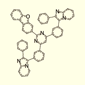 c1ccc(-c2nc3ccccn3c2-c2cccc(-c3cc(-c4cccc(-c5c(-c6ccccc6)nc6ccccn56)c4)nc(-c4ccc5c(c4)oc4ccccc45)n3)c2)cc1